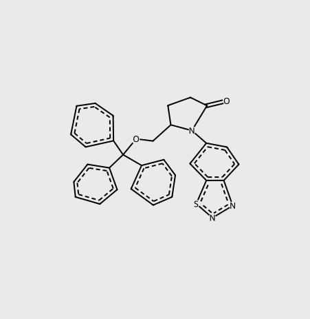 O=C1CCC(COC(c2ccccc2)(c2ccccc2)c2ccccc2)N1c1ccc2nnsc2c1